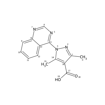 Cc1nn(-c2ncnc3ccccc23)c(C)c1C(=O)O